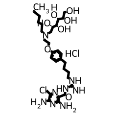 CCCCCCN(CCOc1ccc(CCCCNC(=N)NC(=O)c2nc(Cl)c(N)nc2N)cc1)C[C@H](O)[C@@H](O)[C@H](O)[C@H](O)CO.Cl